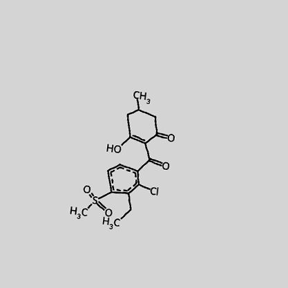 CCc1c(S(C)(=O)=O)ccc(C(=O)C2=C(O)CC(C)CC2=O)c1Cl